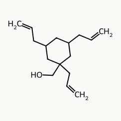 C=CCC1CC(CC=C)CC(CO)(CC=C)C1